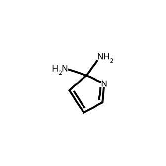 NC1(N)C=CC=N1